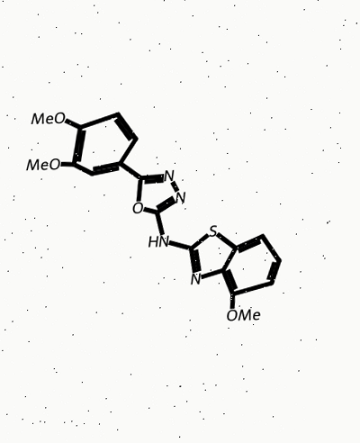 COc1ccc(-c2nnc(Nc3nc4c(OC)cccc4s3)o2)cc1OC